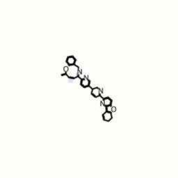 C=C1/C=C\C(c2ccc(C3C=CC(c4ccc5oc6c(c5n4)C=CCC6)=NC3)cn2)=N/Cc2ccccc2O1